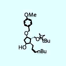 CCCC/C=C\C[C@@H]1[C@@H](CO[Si](C)(C)C(C)(C)C)[C@H](OCc2ccc(OC)cc2)C[C@@H]1O